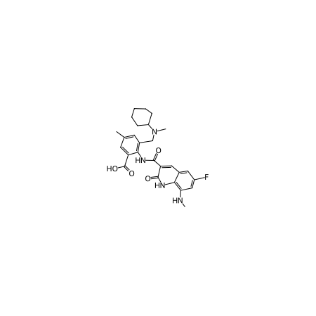 CNc1cc(F)cc2cc(C(=O)Nc3c(CN(C)C4CCCCC4)cc(C)cc3C(=O)O)c(=O)[nH]c12